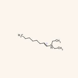 CCCCCC/C=C/[SiH](CC)CC